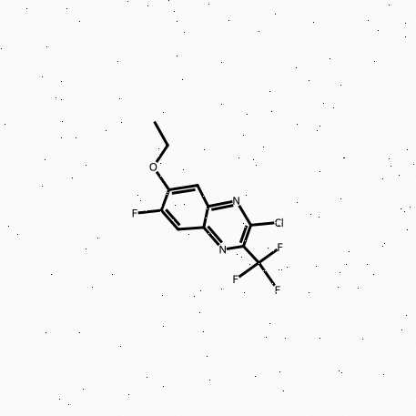 CCOc1cc2nc(Cl)c(C(F)(F)F)nc2cc1F